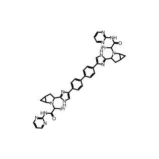 CC(C)C(C(=O)Nc1ncccn1)N1C(c2nc(-c3ccc(-c4ccc(-c5c[nH]c(C6CC7CC7N6C(C(=O)Nc6ncccn6)C(C)C)n5)cc4)cc3)c[nH]2)CC2CC21